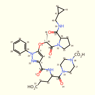 C[C@@H](Oc1cc(C(=O)NC(CCC(=O)O)C(=O)N2CCN(C(=O)O)CC2)nn1-c1ccccc1)C(=O)N1CCCC1C(=O)NCC1CC1